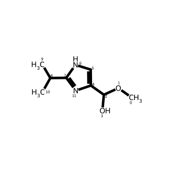 COC(O)c1c[nH]c(C(C)C)n1